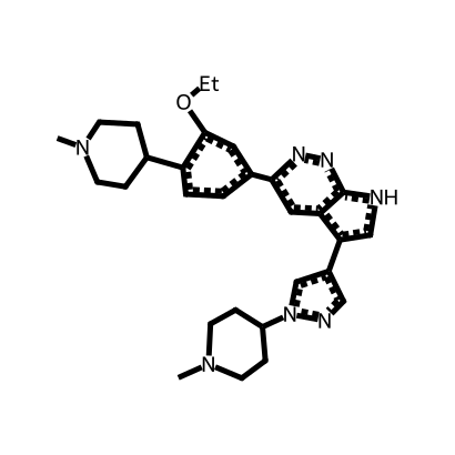 CCOc1cc(-c2cc3c(-c4cnn(C5CCN(C)CC5)c4)c[nH]c3nn2)ccc1C1CCN(C)CC1